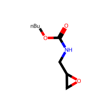 CCCCOC(=O)NCC1CO1